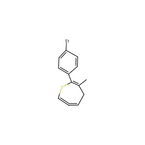 CCc1ccc(C2=C(C)CC=C=CS2)cc1